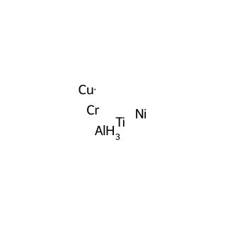 [AlH3].[Cr].[Cu].[Ni].[Ti]